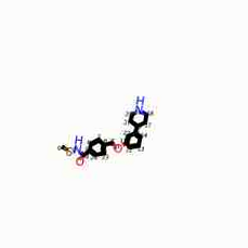 CSNC(=O)c1ccc(COc2cccc(C3CCNCC3)c2)cc1